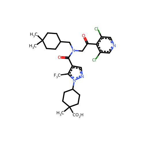 CC1(C)CCC(CN(CC(=O)c2c(Cl)cncc2Cl)C(=O)c2cnn(C3CCC(C)(C(=O)O)CC3)c2C(F)(F)F)CC1